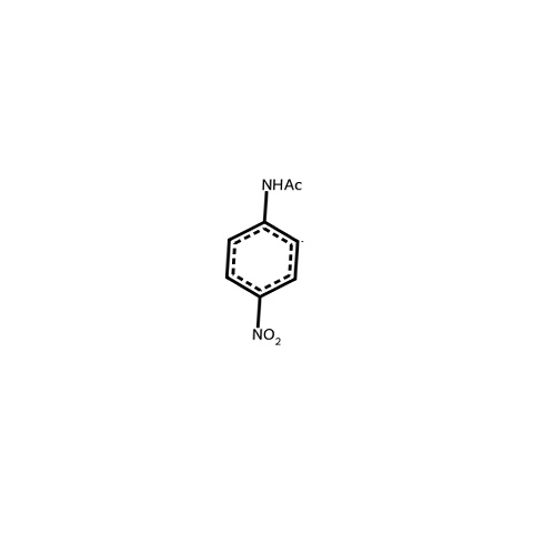 CC(=O)Nc1[c]cc([N+](=O)[O-])cc1